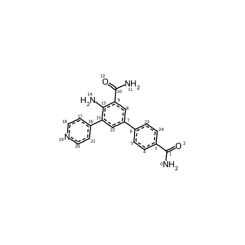 NC(=O)c1ccc(-c2cc(C(N)=O)c(N)c(-c3ccncc3)c2)cc1